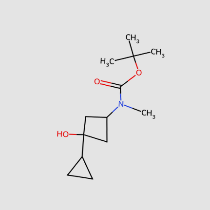 CN(C(=O)OC(C)(C)C)C1CC(O)(C2CC2)C1